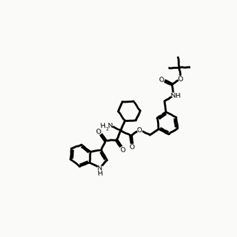 CC(C)(C)OC(=O)NCc1cccc(COC(=O)C(N)(C(=O)C(=O)c2c[nH]c3ccccc23)C2CCCCC2)c1